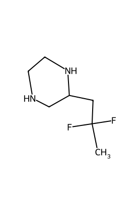 CC(F)(F)CC1CNCCN1